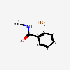 Br.CCCCNC(=O)c1ccccc1